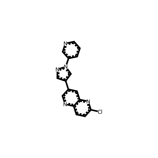 Clc1ccc2ncc(-c3cnn(-c4cccnc4)c3)cc2n1